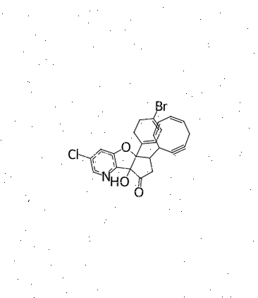 O=C1CC(C2C#CC/C=C\C=C/2)C2(C3=CC=C(Br)CC3)Oc3cc(Cl)cnc3C12O